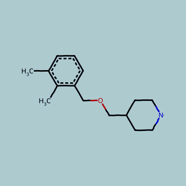 Cc1cccc(COCC2CC[N]CC2)c1C